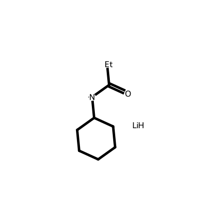 CCC(=O)[N]C1CCCCC1.[LiH]